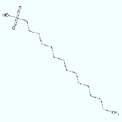 CCCCCCCCCCCCCCCS(=O)(=O)O